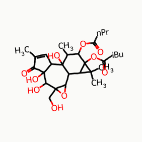 CCCC(=O)OC1C(C)C2(O)C(C3OC3(CO)C(O)C3(O)C(=O)C(C)=CC32)C2C(C)(C)C12OC(=O)C(C)CC